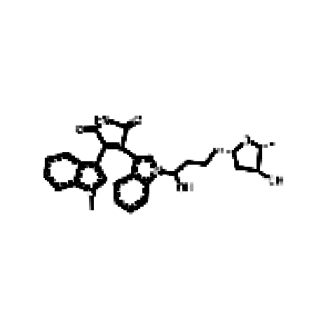 C[C@H]1O[C@@H](CCCC(O)n2cc(C3=C(c4cn(C)c5ccccc45)C(=O)NC3=O)c3ccccc32)C[C@@H]1O